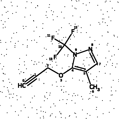 C#CCOc1c(C)[c]nn1C(F)(F)F